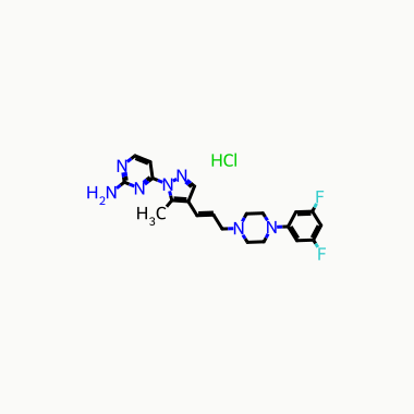 Cc1c(C=CCN2CCN(c3cc(F)cc(F)c3)CC2)cnn1-c1ccnc(N)n1.Cl